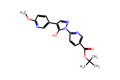 COc1ccc(-c2cnn(-c3ccc(C(=O)OC(C)(C)C)cn3)c2O)cn1